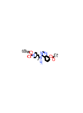 CCC(=O)Oc1cccc2c(N[C@@H](C)CC3CCN(C(=O)OC(C)(C)C)CC3)ncnc12